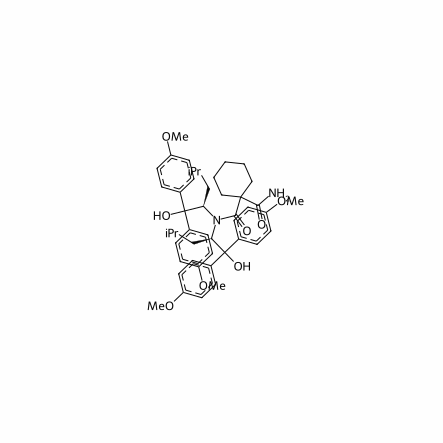 COc1ccc(C(O)(c2ccc(OC)cc2)[C@@H](CC(C)C)N(C(=O)C2(C(N)=O)CCCCC2)[C@H](CC(C)C)C(O)(c2ccc(OC)cc2)c2ccc(OC)cc2)cc1